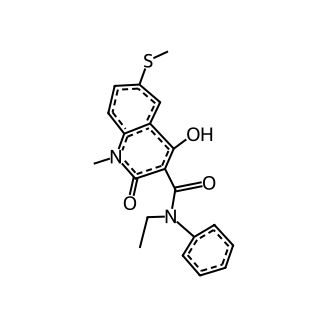 CCN(C(=O)c1c(O)c2cc(SC)ccc2n(C)c1=O)c1ccccc1